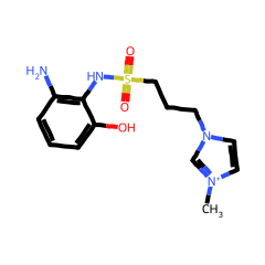 C[n+]1ccn(CCCS(=O)(=O)Nc2c(N)cccc2O)c1